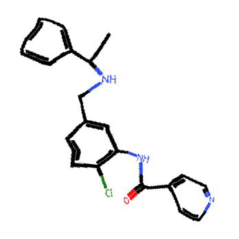 CC(NCc1ccc(Cl)c(NC(=O)c2ccncc2)c1)c1ccccc1